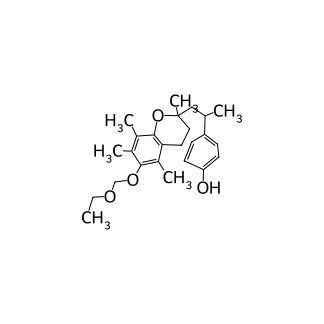 CCOCOc1c(C)c(C)c2c(c1C)CCC(C)(CC(C)c1ccc(O)cc1)O2